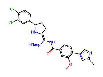 COc1cc(C(=O)N/C(N=N)=C2\CCC(c3ccc(Cl)c(Cl)c3)N2)ccc1-n1cnc(C)c1